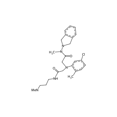 CNCCCNC(=O)CN(CC(=O)N(C)N1Cc2ccccc2C1)c1cc(Cl)ccc1C